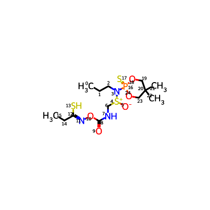 CCCN([S+]([O-])CNC(=O)ON=C(S)CC)P1(=S)OCC(C)(C)CO1